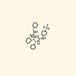 O=C(Nc1ccc(C(F)(F)F)cc1)NC(c1ccccc1)C(NC(=S)NCc1ccccc1)c1ccccc1